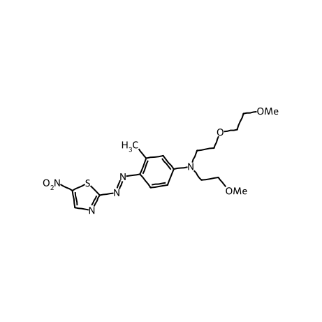 COCCOCCN(CCOC)c1ccc(/N=N/c2ncc([N+](=O)[O-])s2)c(C)c1